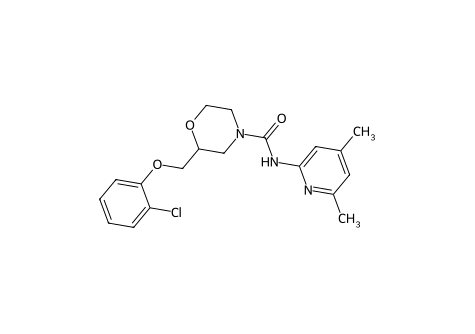 Cc1cc(C)nc(NC(=O)N2CCOC(COc3ccccc3Cl)C2)c1